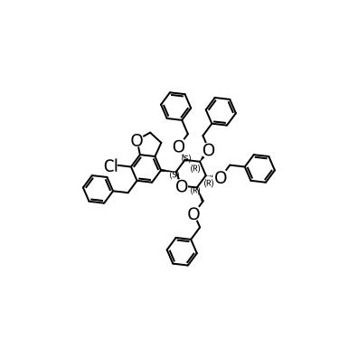 Clc1c(Cc2ccccc2)cc([C@@H]2O[C@H](COCc3ccccc3)[C@@H](OCc3ccccc3)[C@H](OCc3ccccc3)[C@H]2OCc2ccccc2)c2c1OCC2